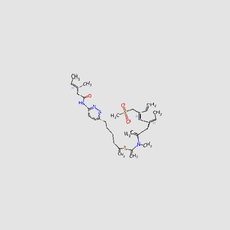 C=C/C(=C\C(=C/C)CC(=C)N(C)C(=C)SC(=C)CCCCc1ccc(NC(=O)C/C(C)=C/C)nn1)CS(C)(=O)=O